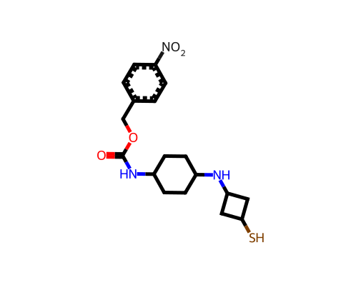 O=C(NC1CCC(NC2CC(S)C2)CC1)OCc1ccc([N+](=O)[O-])cc1